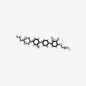 BCOc1ccc(-c2ccc(-c3ccc(C4COC(CCC)OC4)cc3F)cc2)c(F)c1F